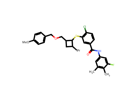 COc1ccc(COCC2CC(C(C)C)C2Sc2cc(C(=O)Nc3cc(C)c(C)c(F)c3)ccc2Cl)cc1